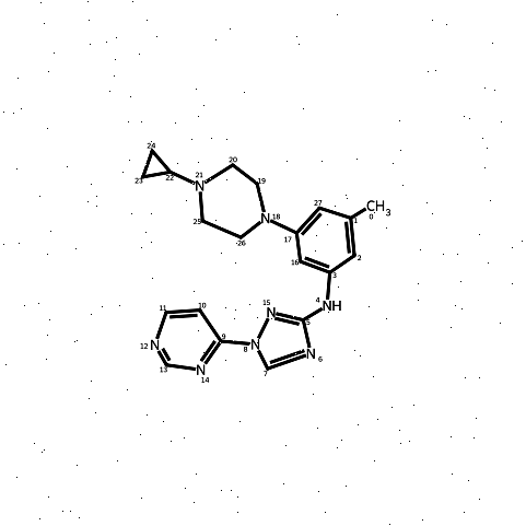 Cc1cc(Nc2ncn(-c3ccncn3)n2)cc(N2CCN(C3CC3)CC2)c1